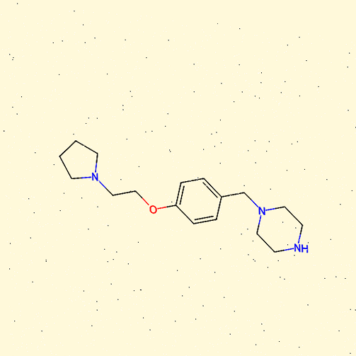 c1cc(OCCN2CCCC2)ccc1CN1CCNCC1